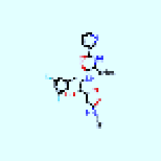 CCCCCCC(NC(=O)c1cccnc1)C(=O)N[C@@H](Cc1cc(F)cc(F)c1)[C@@H](O)[C@H](O)CC(=O)NCC(C)C